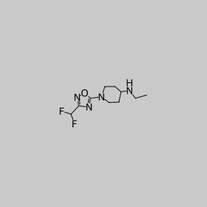 CCNC1CCN(c2nc(C(F)F)no2)CC1